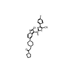 CCc1nn2ccc(N3CCN(CC(=O)N4CCCC4)CC3)cc2c1N(C)c1nc(-c2ccc(F)cc2)c(C#N)s1